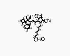 N#CC1C[C@@H](O)C(/C=C/CC(O)C2(c3cccs3)CCC2)[C@H]1CCCCCCC=O